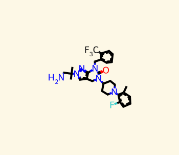 Cc1cccc(F)c1N1CCC(N2Cc3cn(C(C)(C)CN)nc3N(Cc3ccccc3C(F)(F)F)C2=O)CC1